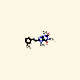 Cc1cccc(/C=C/c2nc3c(c(=O)n(C)c(=O)n3C)n2C)c1